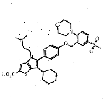 CN(C)CCn1c(-c2ccc(OCc3cc(S(C)(=O)=O)ccc3N3CCOCC3)cc2)c(C2CCCCC2)c2sc(C(=O)O)cc21